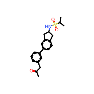 CC(=O)Cc1cccc(-c2ccc3c(c2)CC(NS(=O)(=O)C(C)C)C3)c1